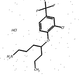 CCCC(CCCN)Oc1ccc(C(F)(F)F)cc1Cl.Cl